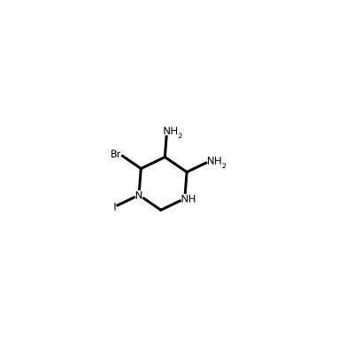 NC1NCN(I)C(Br)C1N